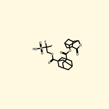 O=C1OC2C3CC(CC13)C2OC(=O)C12CC3CC(CC(C(=O)OCC(F)(F)S(=O)(=O)O)(C3)C1)C2